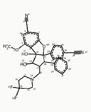 COc1nc(C#N)cc2c1C1(O)C(O)C(CN3CCC(F)(F)CC3)C(c3ccccc3)C1(c1ccc(C#N)cc1)O2